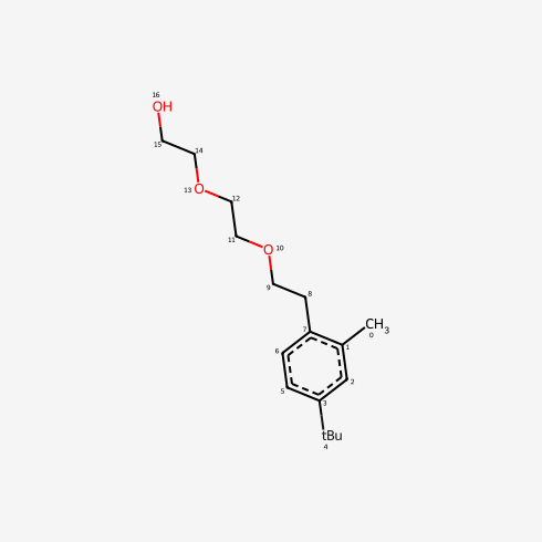 Cc1cc(C(C)(C)C)ccc1CCOCCOCCO